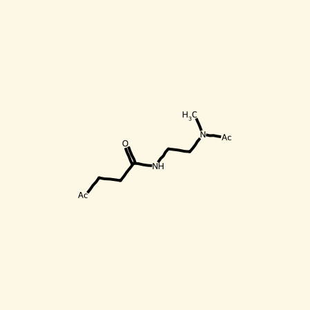 CC(=O)CCC(=O)NCCN(C)C(C)=O